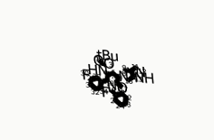 CC(C)(C)OC(=O)N[C@H]1C[C@@H](N2Cc3cn[nH]c3C2)C(=O)N(Cc2ccccc2)C1c1cc(F)ccc1F